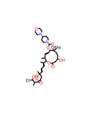 CCC(O)C(C)C1OC1CC(C)(O)/C=C/C=C(\C)C1OC(=O)CC(O)CCC(C)(OC)C(OC(=O)N2CCC(N3CCOCC3)CC2)/C=C/C1C